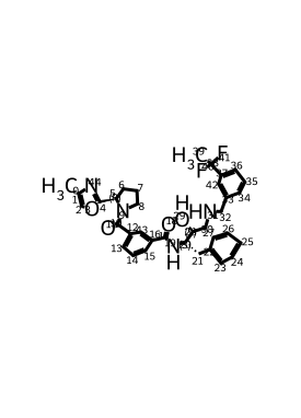 Cc1coc([C@H]2CCCN2C(=O)c2cccc(C(=O)N[C@@H](Cc3ccccc3)[C@@H](O)CNCc3cccc(C(C)(F)F)c3)c2)n1